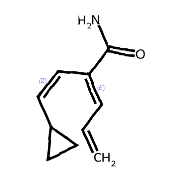 C=C/C=C(\C=C/C1CC1)C(N)=O